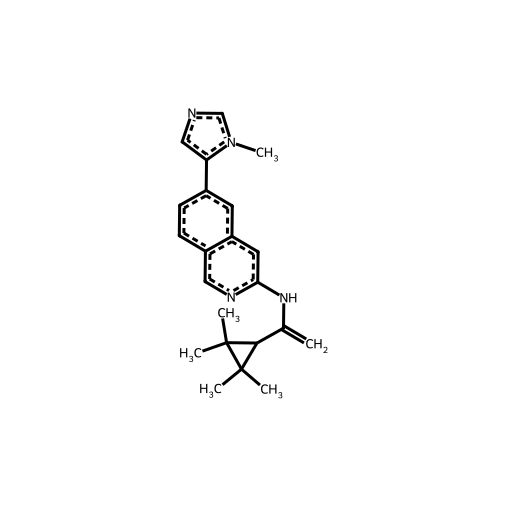 C=C(Nc1cc2cc(-c3cncn3C)ccc2cn1)C1C(C)(C)C1(C)C